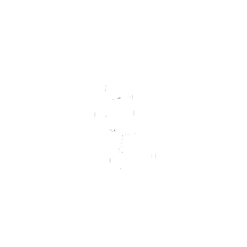 O=C(C(O)N1CCC[C@H]1C(=O)O)[C@@H](O)[C@H](O)[C@H](O)CO